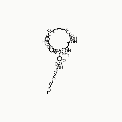 CCOCCOCCOCCOCCNC(=O)O[C@@H]1CC[C@@H](C[C@@H](N)[C@@H]2C[C@@H](O)[C@H](C)/C=C(\C)[C@@H](O)[C@@H](O)C(=O)[C@H](C)C[C@H](C)/C=C/C=C/C=C(\C)[C@@H](OC)C[C@@H]3CC[C@@H](C)[C@@](O)(O3)C(=O)C(=O)N3CCCC[C@H]3C(=O)O2)C[C@H]1OC